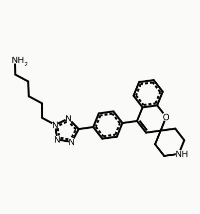 NCCCCCn1nnc(-c2ccc(C3=CC4(CCNCC4)Oc4ccccc43)cc2)n1